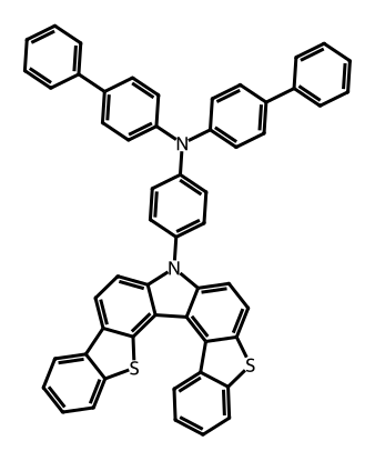 c1ccc(-c2ccc(N(c3ccc(-c4ccccc4)cc3)c3ccc(-n4c5ccc6c7ccccc7sc6c5c5c6c(ccc54)sc4ccccc46)cc3)cc2)cc1